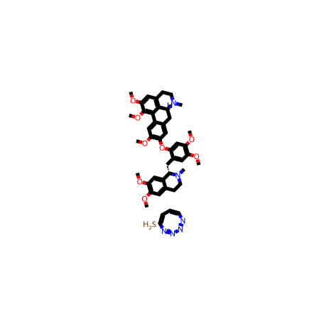 C1=CN=NN=NC=C1.COc1cc(C[C@H]2c3cc(OC)c(OC)cc3CCN2C)c(Oc2cc3c(cc2OC)-c2c(OC)c(OC)cc4c2[C@H](C3)N(C)CC4)cc1OC.S